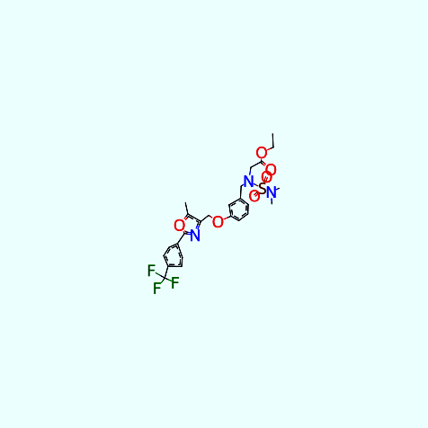 CCOC(=O)CN(Cc1cccc(OCc2nc(-c3ccc(C(F)(F)F)cc3)oc2C)c1)S(=O)(=O)N(C)C